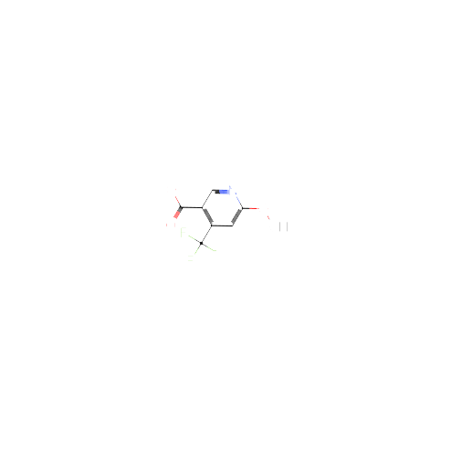 COc1cc(C(F)(F)F)c(C(=O)O)cn1